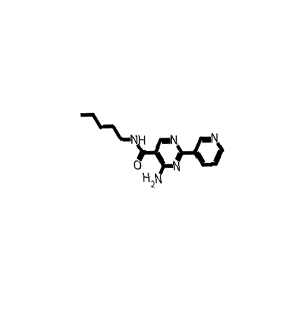 CCCCCNC(=O)c1cnc(-c2cccnc2)nc1N